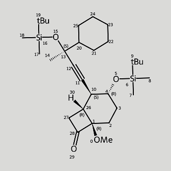 CO[C@]12CC[C@@H](O[Si](C)(C)C(C)(C)C)[C@H](C#C[C@@](C)(O[Si](C)(C)C(C)(C)C)C3CCCCC3)[C@H]1CC2=O